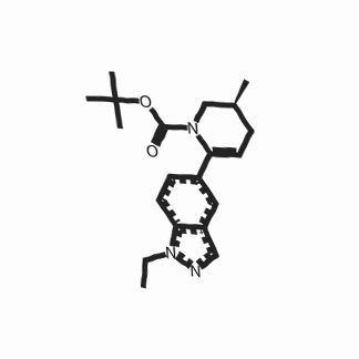 CCn1ncc2cc(C3=CC[C@H](C)CN3C(=O)OC(C)(C)C)ccc21